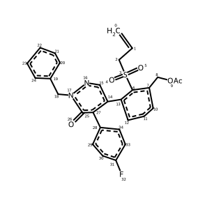 C=CCS(=O)(=O)c1c(COC(C)=O)cccc1-c1cnn(Cc2ccccc2)c(=O)c1-c1ccc(F)cc1